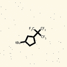 CC(C)(C)C1CCC(C(C(F)(F)F)(C(F)(F)F)C(F)(F)F)C1